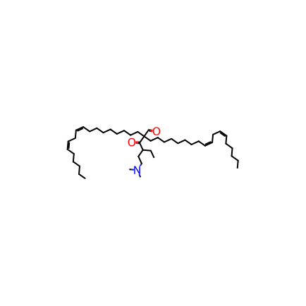 CCCCC/C=C\C/C=C\CCCCCCCCC(C=O)(CCCCCCCC/C=C\C/C=C\CCCCC)C(=O)C(CC)CCN(C)C